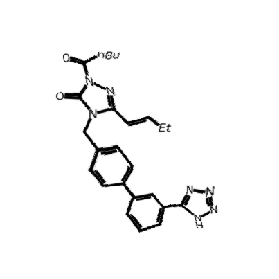 CC/C=C/c1nn(C(=O)CCCC)c(=O)n1Cc1ccc(-c2cccc(-c3nnn[nH]3)c2)cc1